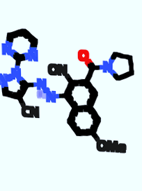 COc1ccc2c(/N=N/c3c(C#N)cnn3-c3ncccn3)c(N=O)c(C(=O)N3CCCC3)cc2c1